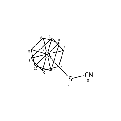 N#CS[C]12[CH]3[CH]4[CH]5[CH]1[Ru]45321678[CH]2[CH]1[CH]6[CH]7[CH]28